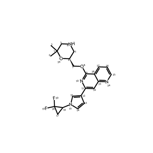 CC1(C)CNC[C@@H](COc2nc(-c3ccn(C4CC4(F)F)c3)cc3ncccc23)O1